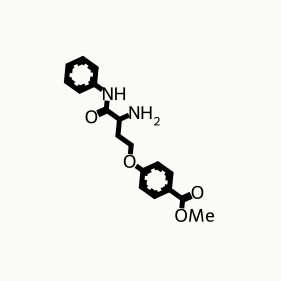 COC(=O)c1ccc(OCCC(N)C(=O)Nc2ccccc2)cc1